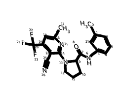 Cc1cccc(NC(=O)C2CCCN2c2nc(C)cc(C(F)(F)F)c2C#N)c1